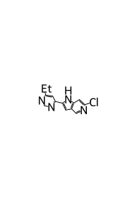 CCc1cc(-c2cc3cnc(Cl)cc3[nH]2)ncn1